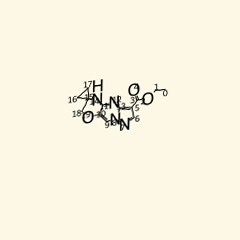 CCOC(=O)c1cnn2cc3c(nc12)NC1(CC1)CO3